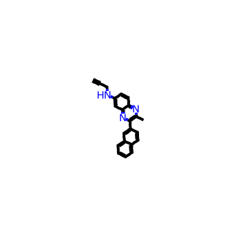 C#CCNc1ccc2nc(C)c(-c3ccc4ccccc4c3)nc2c1